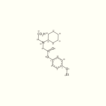 CCOc1ccc(OC(=O)CN(CC(=O)O)C2CCCCC2)cc1